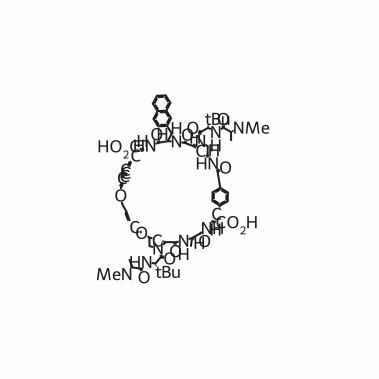 CN[C@@H](C)C(=O)N[C@H](C(=O)N1CC2CC1C(=O)N[C@@H](C)C(=O)N[C@H](C(=O)O)Cc1ccc(cc1)C(=O)N[C@H]1C[C@@H](C(=O)N[C@@H](Cc3ccc4ccccc4c3)C(=O)N[C@H](C(=O)O)Cc3ccc(cc3)OC/C=C/CO2)N(C(=O)[C@@H](NC(=O)[C@H](C)NC)C(C)(C)C)C1)C(C)(C)C